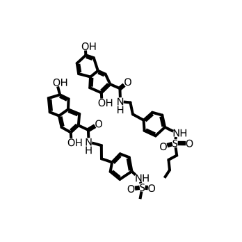 CCCCS(=O)(=O)Nc1ccc(CCNC(=O)c2cc3cc(O)ccc3cc2O)cc1.CS(=O)(=O)Nc1ccc(CCNC(=O)c2cc3cc(O)ccc3cc2O)cc1